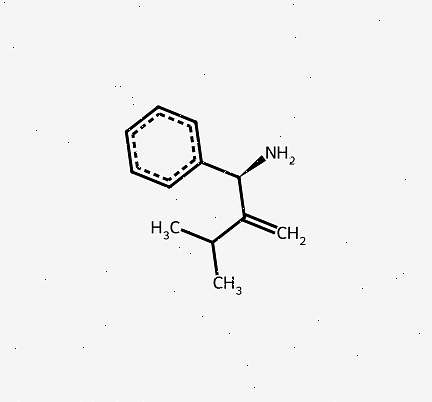 C=C(C(C)C)[C@H](N)c1ccccc1